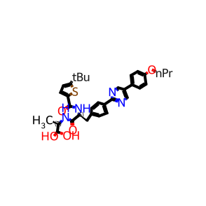 CCCOc1ccc(-c2cnc(-c3ccc(C[C@H](NC(=O)c4ccc(C(C)(C)C)s4)C(=O)N[C@H](C)C(O)O)cc3)nc2)cc1